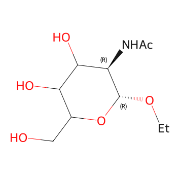 CCO[C@@H]1OC(CO)C(O)C(O)[C@H]1NC(C)=O